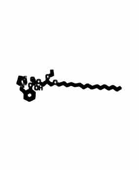 CCCCCCCCCCCCCCCCOCC(COP(=O)(O)Oc1ccccc1C[n+]1ccsc1)OCC